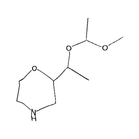 COC(C)OC(C)C1CNCCO1